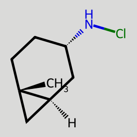 C[C@@]12CC[C@H](NCl)C[C@H]1C2